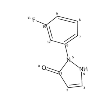 O=c1cc[nH]n1-c1cccc(F)c1